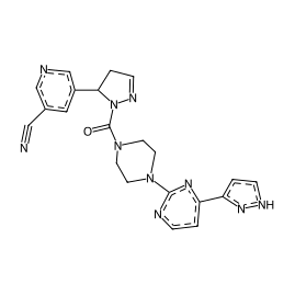 N#Cc1cncc(C2CC=NN2C(=O)N2CCN(c3nccc(-c4cc[nH]n4)n3)CC2)c1